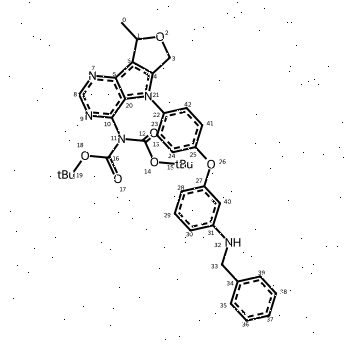 CC1OCc2c1c1ncnc(N(C(=O)OC(C)(C)C)C(=O)OC(C)(C)C)c1n2-c1ccc(Oc2cccc(NCc3ccccc3)c2)cc1